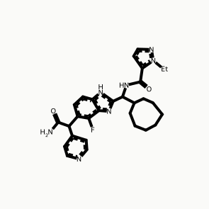 CCn1nccc1C(=O)NC(c1nc2c(F)c(C(C(N)=O)c3ccncc3)ccc2[nH]1)C1CCCCCCC1